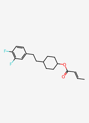 CC=CC(=O)OC1CCC(CCc2ccc(F)c(F)c2)CC1